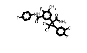 Cc1cc(C2(C(N)=O)C(c3ccc(F)c(Cl)c3)C2(Cl)Cl)cc(C(=O)Nc2ccc(F)cc2)c1F